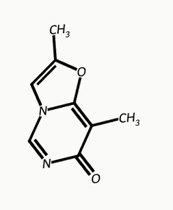 Cc1cn2cnc(=O)c(C)c2o1